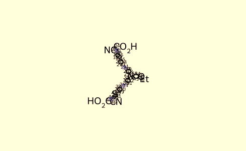 CCOc1ccc(N(c2ccc(/C=C/c3ccc(-c4ccc(/C=C(\C#N)C(=O)O)s4)cc3)cc2)c2ccc(/C=C/c3ccc(-c4ccc(/C=C(\C#N)C(=O)O)s4)cc3)cc2)cc1